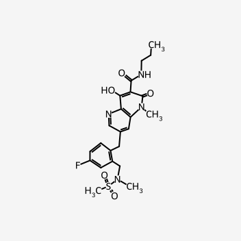 CCCNC(=O)c1c(O)c2ncc(Cc3ccc(F)cc3CN(C)S(C)(=O)=O)cc2n(C)c1=O